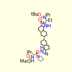 CC[C@@H](c1nc2ccc3cc(-c4ccc5c(ccc6nc([C@@H]7CCCN7C(=O)[C@@H](NC(=O)OC)C(C)C)[nH]c65)c4)ccc3c2[nH]1)N(C(=O)OC(C)(C)C)C(C)C